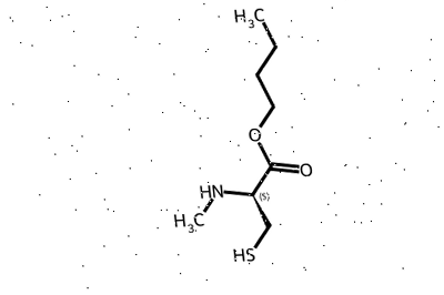 CCCCOC(=O)[C@@H](CS)NC